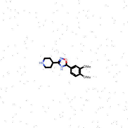 COc1ccc(C2NC(C3CCNCC3)=NO2)cc1OC